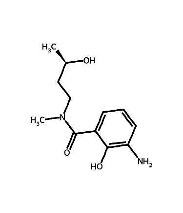 C[C@@H](O)CCN(C)C(=O)c1cccc(N)c1O